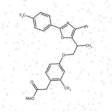 COC(=O)Cc1ccc(OCC(C)c2oc(-c3ccc(C(F)(F)F)cc3)nc2C(C)C)cc1C